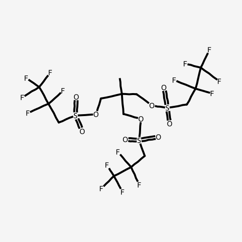 CC(COS(=O)(=O)CC(F)(F)C(F)(F)F)(COS(=O)(=O)CC(F)(F)C(F)(F)F)COS(=O)(=O)CC(F)(F)C(F)(F)F